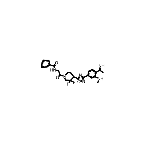 CNc1cc(-c2noc(C3CCN(C(=O)CNC(=O)c4ccccc4)CC3(F)F)n2)ccc1C(C)=N